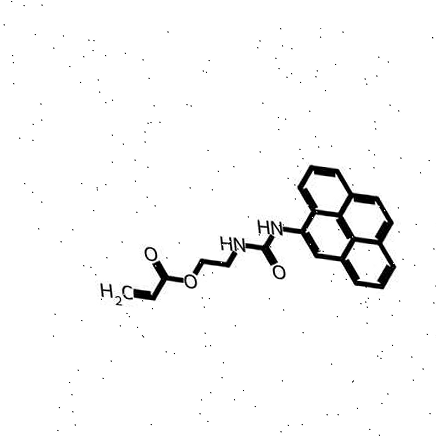 C=CC(=O)OCCNC(=O)Nc1cc2cccc3ccc4cccc1c4c32